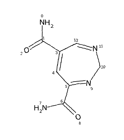 NC(=O)C1=CC(C(N)=O)=NCN=C1